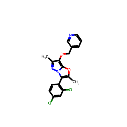 Cc1nn2c(-c3ccc(Cl)cc3Cl)c(C)oc2c1OCc1cccnc1